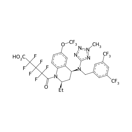 CC[C@@H]1C[C@H](N(Cc2cc(C(F)(F)F)cc(C(F)(F)F)c2)c2nnn(C)n2)c2cc(OC(F)(F)F)ccc2N1C(=O)C(F)(F)C(F)(F)C(F)(F)C(=O)O